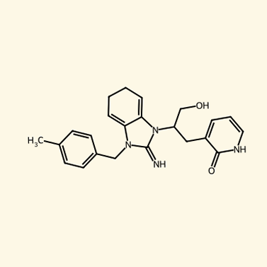 Cc1ccc(Cn2c3c(n(C(CO)Cc4ccc[nH]c4=O)c2=N)=CCCC=3)cc1